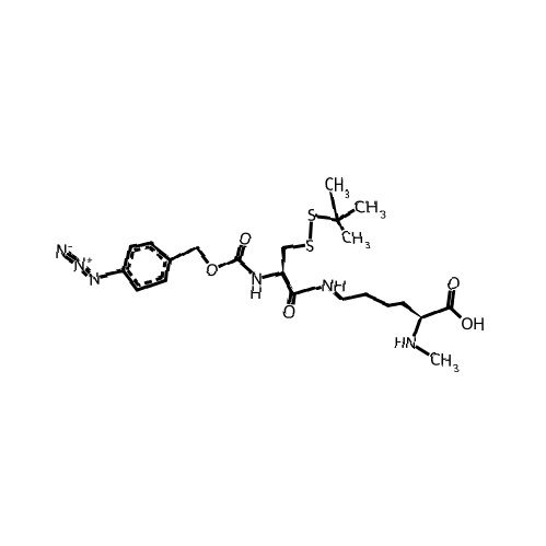 CN[C@@H](CCCCNC(=O)[C@H](CSSC(C)(C)C)NC(=O)OCc1ccc(N=[N+]=[N-])cc1)C(=O)O